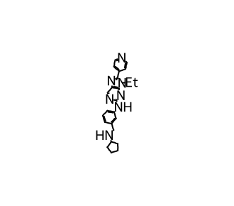 CCn1c(-c2ccncc2)nc2cnc(Nc3cccc(CNC4CCCC4)c3)nc21